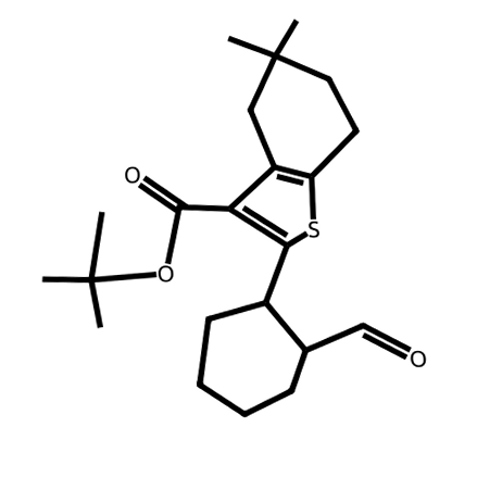 CC1(C)CCc2sc(C3CCCCC3C=O)c(C(=O)OC(C)(C)C)c2C1